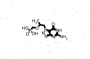 CC(Cn1nnc2nc(N)[nH]c(=O)c21)OCP(=O)(O)O